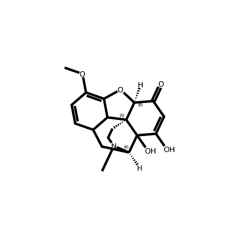 COC1=C2O[C@H]3C(=O)C=C(O)C4(O)[C@H]5CC(C=C1)C2[C@@]34CCN5C